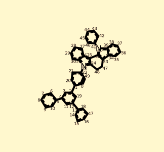 c1c(-c2cc(-c3ccccc3)cc(-c3ccccc3)c2)ccc(-n2c3c(c4ccccc42)-c2c(c4ccccc4n2-c2ccccc2)CC3)c#1